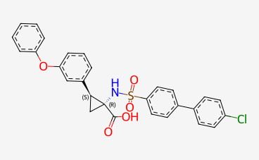 O=C(O)[C@@]1(NS(=O)(=O)c2ccc(-c3ccc(Cl)cc3)cc2)C[C@H]1c1cccc(Oc2ccccc2)c1